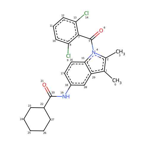 Cc1c(C)n(C(=O)c2c(Cl)cccc2Cl)c2ccc(NC(=O)C3CCCCC3)cc12